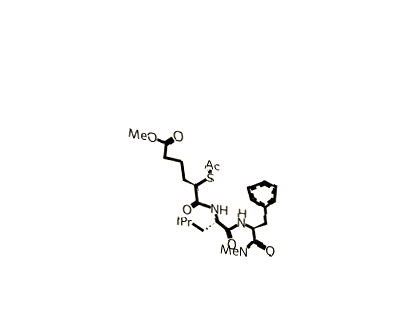 CNC(=O)[C@H](Cc1ccccc1)NC(=O)[C@H](CC(C)C)NC(=O)[C@@H](CCCC(=O)OC)SC(C)=O